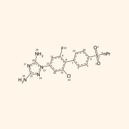 CCCS(=O)(=O)c1ccc(-c2c(F)cc(-n3nc(N)nc3N)cc2Cl)cc1